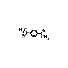 CC(Br)c1ccc(C(C)Br)cc1